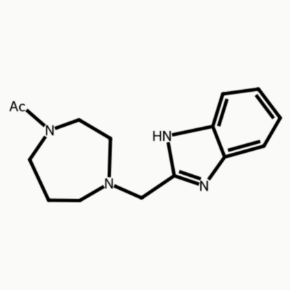 CC(=O)N1CCCN(Cc2nc3ccccc3[nH]2)CC1